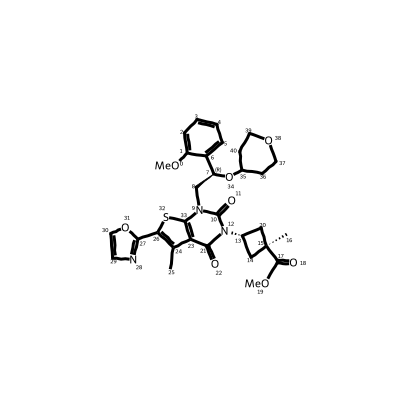 COc1ccccc1[C@H](Cn1c(=O)n([C@H]2C[C@](C)(C(=O)OC)C2)c(=O)c2c(C)c(-c3ncco3)sc21)OC1CCOCC1